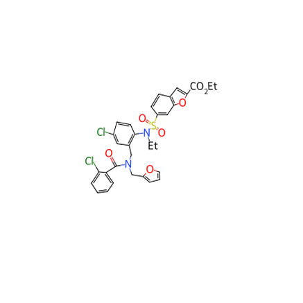 CCOC(=O)c1cc2ccc(S(=O)(=O)N(CC)c3ccc(Cl)cc3CN(Cc3ccco3)C(=O)c3ccccc3Cl)cc2o1